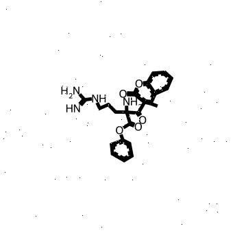 Cc1c(C(=O)C(N)(CCCNC(=N)N)C(=O)Oc2ccccc2)c(=O)oc2ccccc12